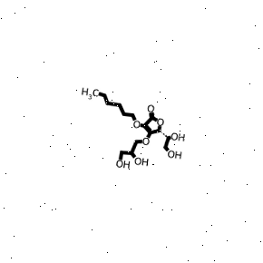 CCCCCCOC1=C(OCC(O)CO)[C@@H](C(O)CO)OC1=O